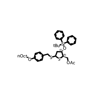 CCCCCCCCOc1ccc(CSC2C[C@H](O[Si](c3ccccc3)(c3ccccc3)C(C)(C)C)[C@@H](COC(C)=O)S2)cc1